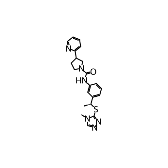 C[C@H](Sc1nncn1C)c1cccc(NC(=O)N2CCC(c3ccccn3)C2)c1